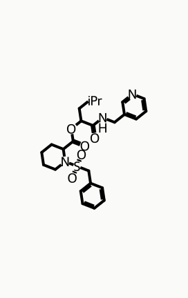 CC(C)CC(OC(=O)C1CCCCN1S(=O)(=O)Cc1ccccc1)C(=O)NCc1cccnc1